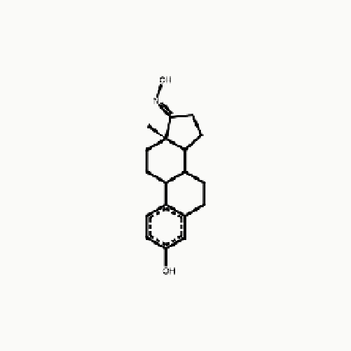 C[C@]12CCC3c4ccc(O)cc4CCC3C1CC/C2=N\O